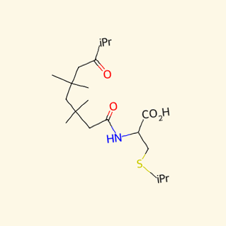 CC(C)SCC(NC(=O)CC(C)(C)CC(C)(C)CC(=O)C(C)C)C(=O)O